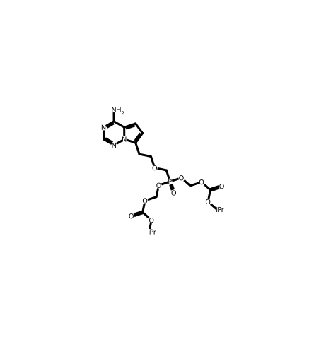 CC(C)OC(=O)OCOP(=O)(COCCc1ccc2c(N)ncnn12)OCOC(=O)OC(C)C